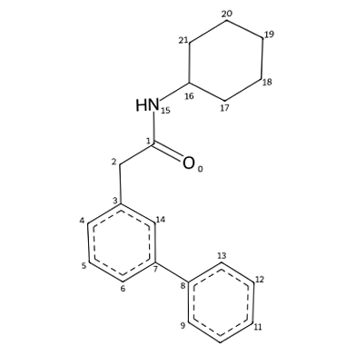 O=C(Cc1cccc(-c2ccccc2)c1)NC1CCCCC1